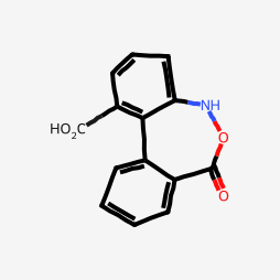 O=C1ONc2cccc(C(=O)O)c2-c2ccccc21